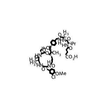 COc1ccc(C[C@H]2NC(=O)C=CC[C@@H]([C@H](C)[C@H]3O[C@@H]3c3ccc(CNC(=O)[C@H](C)NC(=O)[C@@H](NC(=O)CCCC(=O)O)C(C)C)cc3)OC(=O)[C@H](CC(C)C)NC(=O)C(C)(C)CNC2=O)cc1Cl